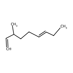 [CH]=CC(C)CCC=CCC